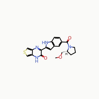 COC[C@H]1CCCN1C(=O)c1ccc2[nH]c(-c3nc4cscc4[nH]c3=O)cc2c1